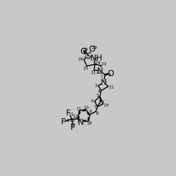 O=C(N1CC(C23CC(Cc4ccc(C(F)(F)F)nc4)(C2)C3)C1)N1CC2(CCS(=O)(=O)N2)C1